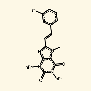 CCCn1c(=O)c2c(nc(C=Cc3cccc(Cl)c3)n2C)n(CCC)c1=O